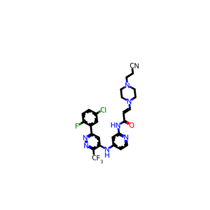 N#CCCN1CCN(C=CC(=O)Nc2cc(Nc3cc(-c4cc(Cl)ccc4F)nnc3C(F)(F)F)ccn2)CC1